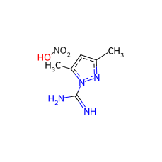 Cc1cc(C)n(C(=N)N)n1.O=[N+]([O-])O